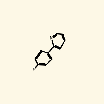 Fc1[c]cc(-c2ccccn2)cc1